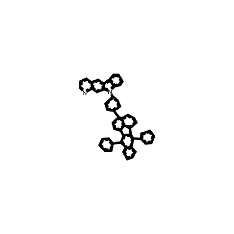 c1ccc(-c2c3c(c(-c4ccccc4)c4ccccc24)-c2ccc(-c4ccc(-n5c6ccccc6c6cc7cccnc7cc65)cc4)c4cccc-3c24)cc1